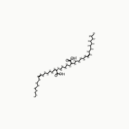 CCCCCCCC/C=C\CCCCCCC(CCCCCCC(CCCCCC/C=C\CCCCCCCC)C(=O)O)C(=O)O